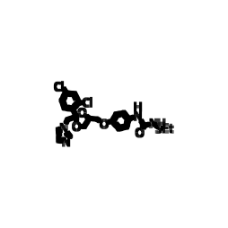 CCSNC(=O)Nc1ccc(OCC2COC(Cn3ccnc3)(c3ccc(Cl)cc3Cl)O2)cc1